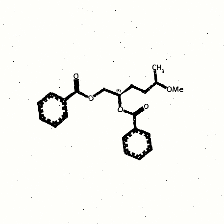 COC(C)CC[C@H](COC(=O)c1ccccc1)OC(=O)c1ccccc1